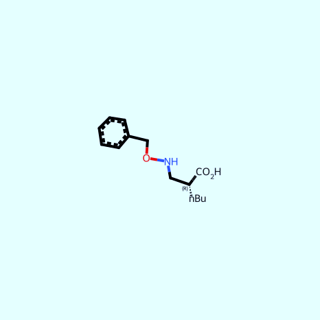 CCCC[C@H](CNOCc1ccccc1)C(=O)O